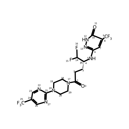 O=C(CC[C@@H](Nc1cc(C(F)(F)F)c(=O)[nH]n1)C(F)F)N1CCN(c2ncc(C(F)(F)F)cn2)CC1